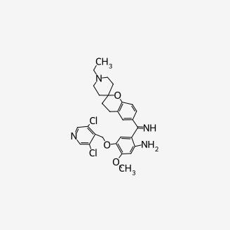 CCN1CCC2(CCc3cc(C(=N)c4cc(OCc5c(Cl)cncc5Cl)c(OC)cc4N)ccc3O2)CC1